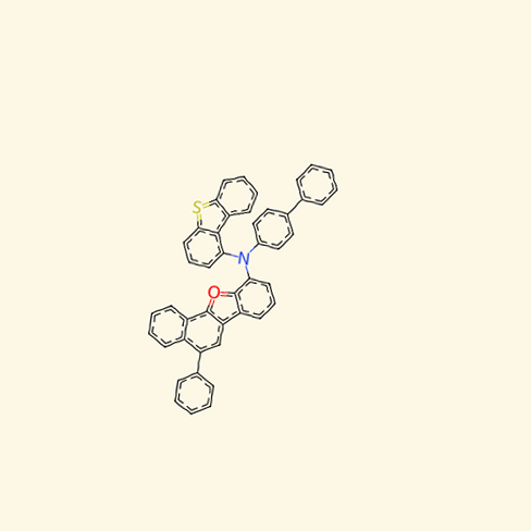 c1ccc(-c2ccc(N(c3cccc4c3oc3c5ccccc5c(-c5ccccc5)cc43)c3cccc4sc5ccccc5c34)cc2)cc1